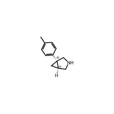 Cc1ccc([C@]23CNC[C@H]2C3)cc1